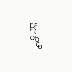 O=C=COC(=O)CCCC(F)(F)F